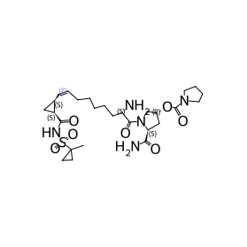 CC1(S(=O)(=O)NC(=O)[C@H]2C[C@H]2/C=C\CCCCC[C@H](N)C(=O)N2C[C@H](OC(=O)N3CCCC3)C[C@H]2C(N)=O)CC1